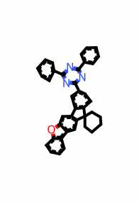 c1ccc(-c2nc(-c3ccccc3)nc(-c3ccc4c(c3)-c3cc5oc6ccccc6c5cc3C43CCCCC3)n2)cc1